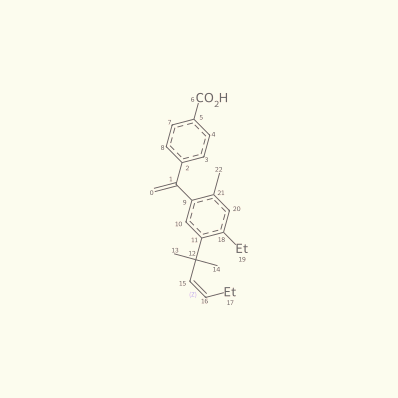 C=C(c1ccc(C(=O)O)cc1)c1cc(C(C)(C)/C=C\CC)c(CC)cc1C